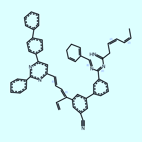 C=C/C(=C\C=C\c1cc(-c2ccc(-c3ccccc3)cc2)nc(-c2ccccc2)n1)c1cc(C#N)cc(-c2cccc(C(=N/C(=N)C/C=C\C=C/C)/N=C/C3=CCCC=C3)c2)c1